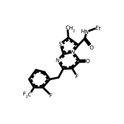 CCNC(=O)c1c(C)sc2nc(Cc3cccc(C(F)(F)F)c3F)c(F)c(=O)n12